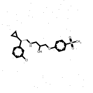 CS(=O)(=O)c1ccc(OCC(O)CNC[C@H](c2cccc(Cl)c2)C2CC2)cc1